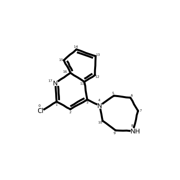 Clc1cc(N2CCCNCC2)c2ccccc2n1